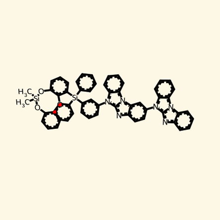 C[Si]1(C)Oc2ccccc2Oc2c(cccc2[Si](c2ccccc2)(c2ccccc2)c2cccc(-n3c4ccccc4n4c5cc(-n6c7ccccc7n7c8ccccc8nc67)ccc5nc34)c2)O1